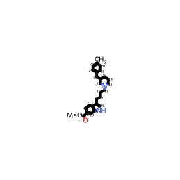 COC(=O)c1ccc2c(CCCCN3CCCC(Cc4ccc(C)cc4)C3)c[nH]c2c1